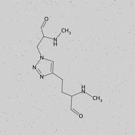 CNC(C=O)CCc1cn(CC(C=O)NC)nn1